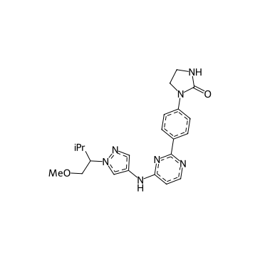 COCC(C(C)C)n1cc(Nc2ccnc(-c3ccc(N4CCNC4=O)cc3)n2)cn1